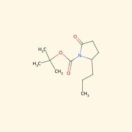 CCCC1CCC(=O)N1C(=O)OC(C)(C)C